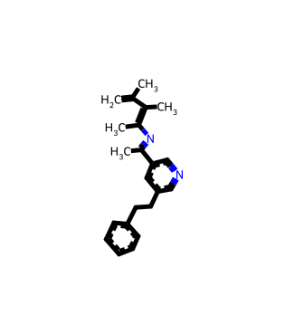 C=C(C)/C(C)=C(C)/N=C(\C)c1cncc(CCc2ccccc2)c1